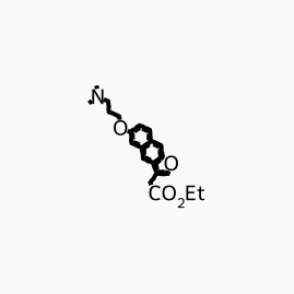 CCOC(=O)Cc1coc2cc3ccc(OCCCN(C)C)cc3cc12